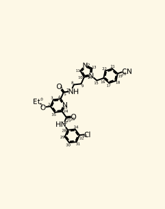 CCOc1cc(C(=O)NCCc2cncn2Cc2ccc(C#N)cc2)nc(C(=O)Nc2cccc(Cl)c2)c1